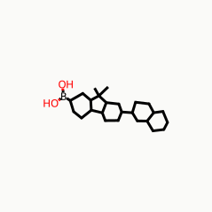 CC1(C)C2CC(B(O)O)CCC2C2CCC(C3CCC4CCCCC4C3)CC21